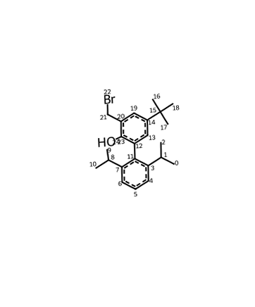 CC(C)c1cccc(C(C)C)c1-c1cc(C(C)(C)C)cc(CBr)c1O